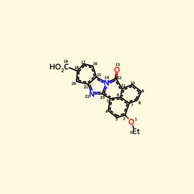 CCOc1ccc2c3c1cccc3c(=O)n1c3ccc(C(=O)O)cc3nc21